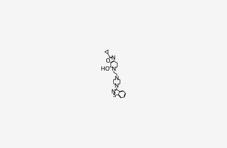 OC1c2oc(C3CC3)nc2CCN1CCN1CCN(c2nsc3ccccc23)CC1